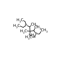 CCP(CC)C(C)C(C)(N)C(C)P(CC)CC